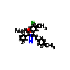 CNC(=O)C(N[C@H](CCc1ccc(C)cc1)c1ccc(F)c(C)c1)c1ccccc1